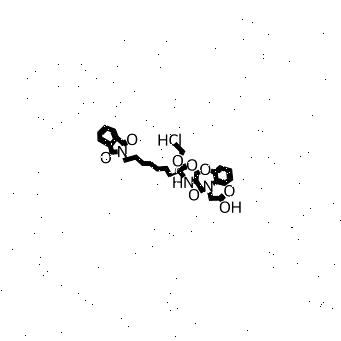 CCOC(=O)[C@H](CCCCCCCN1C(=O)c2ccccc2C1=O)NC1COc2ccccc2N(CC(=O)O)C1=O.Cl